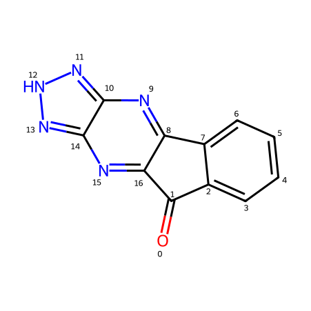 O=C1c2ccccc2-c2nc3n[nH]nc3nc21